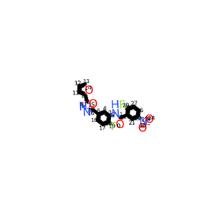 O=C(Nc1cc(-c2nnc(-c3ccco3)o2)ccc1F)c1cc([N+](=O)[O-])ccc1F